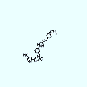 CN1CCC(COc2cnc(-c3cccc(Cn4cc(C5CC(C#N)=CC=N5)ccc4=O)c3)nc2)CC1